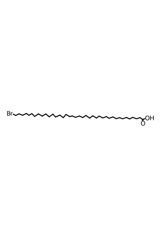 O=C(O)CCCCCCCCCCCCCCCCCCCCCCCCCCCCCCCCCCCCCCBr